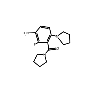 Nc1ccc(N2CCCC2)c(C(=O)N2CCCC2)c1F